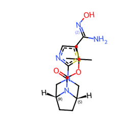 CC(C)(C)OC(=O)N1[C@@H]2CC[C@H]1CN(c1ncc(/C(N)=N/O)s1)C2